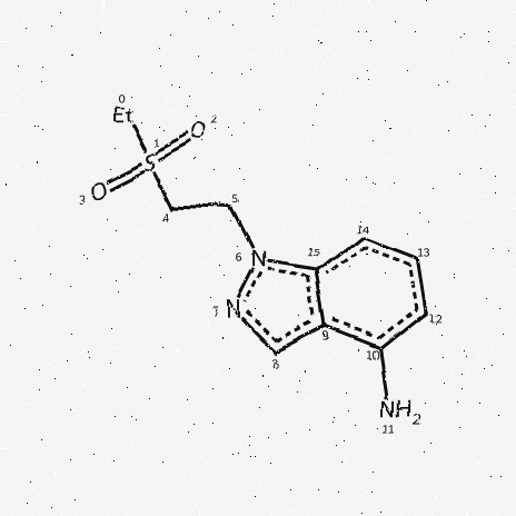 CCS(=O)(=O)CCn1ncc2c(N)cccc21